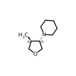 C[C@@H]1COC[C@H]1N1CCCCC1